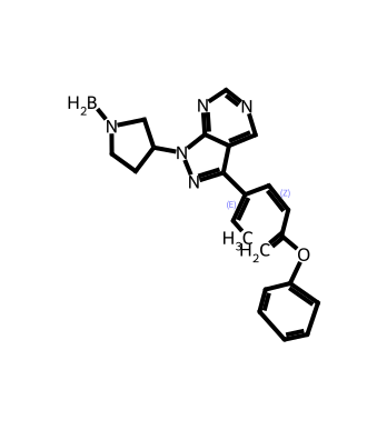 BN1CCC(n2nc(C(/C=C\C(=C)Oc3ccccc3)=C/C)c3cncnc32)C1